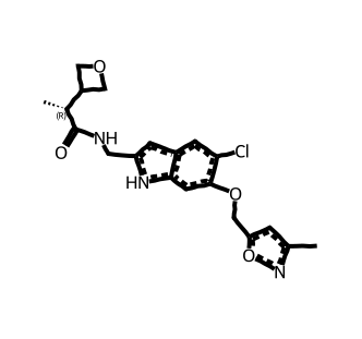 Cc1cc(COc2cc3[nH]c(CNC(=O)[C@H](C)C4COC4)cc3cc2Cl)on1